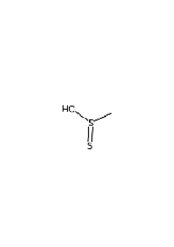 CS(O)=S